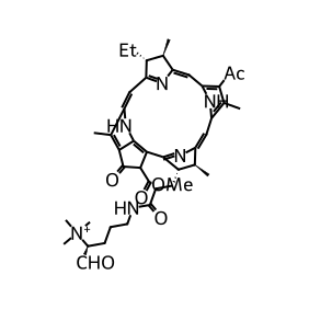 CC[C@H]1c2cc3[nH]c4c(c3C)C(=O)C(C(=O)OC)c4c3nc(cc4[nH]c(cc(n2)[C@@H]1C)c(C(C)=O)c4C)[C@@H](C)[C@@H]3CCC(=O)NCCC[C@@H](C=O)[N+](C)(C)C